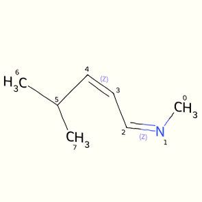 C/N=C\C=C/C(C)C